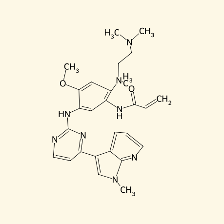 C=CC(=O)Nc1cc(Nc2nccc(-c3cn(C)c4ncccc34)n2)c(OC)cc1N(C)CCN(C)C